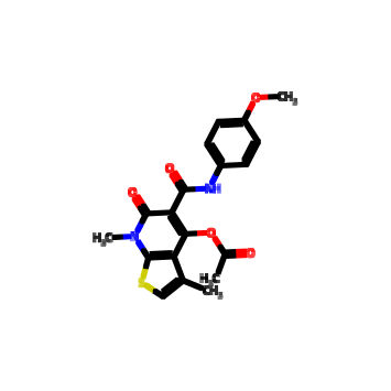 COc1ccc(NC(=O)c2c(OC(C)=O)c3c(C)csc3n(C)c2=O)cc1